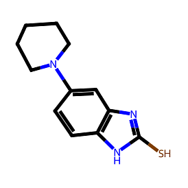 Sc1nc2cc(N3CCCCC3)ccc2[nH]1